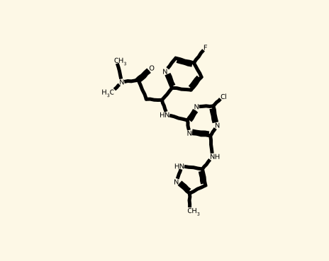 Cc1cc(Nc2nc(Cl)nc(NC(CC(=O)N(C)C)c3ccc(F)cn3)n2)[nH]n1